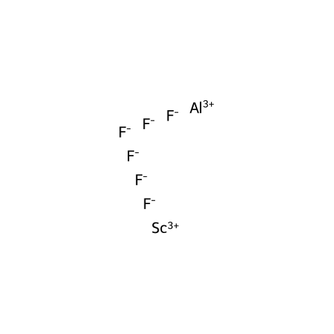 [Al+3].[F-].[F-].[F-].[F-].[F-].[F-].[Sc+3]